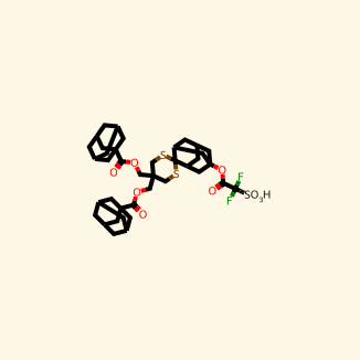 O=C(OCC1(COC(=O)C23CC4CC(CC(C4)C2)C3)CSC2(SC1)C1CC3CC2CC(OC(=O)C(F)(F)S(=O)(=O)O)(C3)C1)C12CC3CC(CC(C3)C1)C2